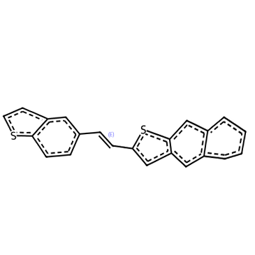 C(=C\c1cc2cc3ccccc3cc2s1)/c1ccc2sccc2c1